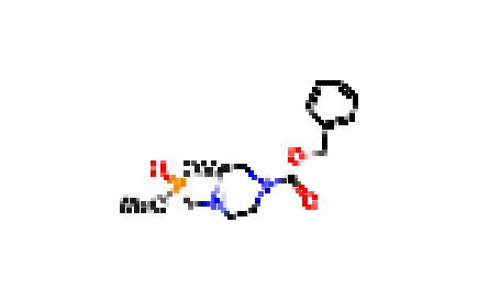 COP(=O)(CN1CCN(C(=O)OCc2ccccc2)CC1)OC